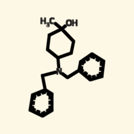 CC1(O)CCC(N(Cc2ccccc2)Cc2ccccc2)CC1